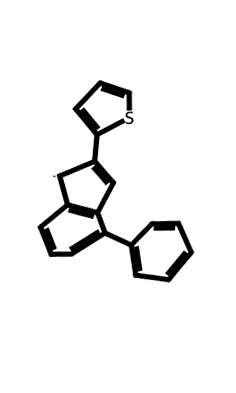 [CH]1C(c2cccs2)=Cc2c1cccc2-c1ccccc1